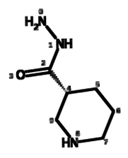 NNC(=O)[C@@H]1CCCNC1